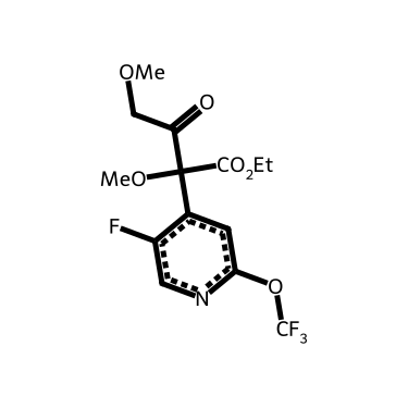 CCOC(=O)C(OC)(C(=O)COC)c1cc(OC(F)(F)F)ncc1F